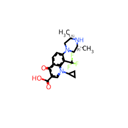 C[C@@H]1CN(c2ccc3c(=O)c(C(=O)O)cn(C4CC4)c3c2C(F)(F)F)C[C@H](C)N1